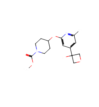 CC(C)(C)OC(=O)N1CCC(Oc2cc(C3(O)COC3)cc(C(F)(F)F)n2)CC1